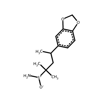 CC(CC(C)(C)[S+](N)[O-])c1ccc2c(c1)OCO2